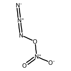 [N-]=[N+]=NO[N+](=O)[O-]